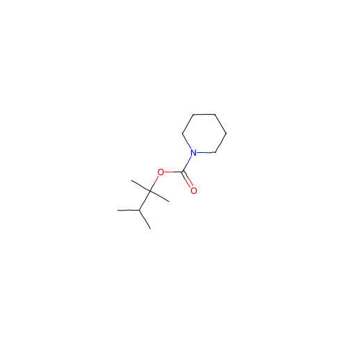 CC(C)C(C)(C)OC(=O)N1CCCCC1